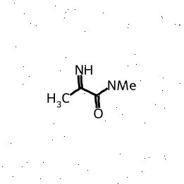 CNC(=O)C(C)=N